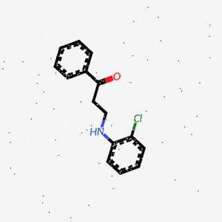 O=C(CCNc1ccccc1Cl)c1ccccc1